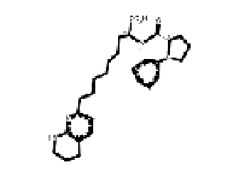 O=C(O)[C@H](CCCCCCCc1ccc2c(n1)NCCC2)NC(=O)[C@@H]1CCCN1c1ccccc1